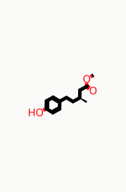 COC(=O)C[C@@H](C)CCc1ccc(O)cc1